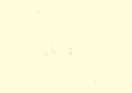 O=C(NN=C1c2ccc(F)cc2CCC1c1ccccc1)Nc1ccc(C(F)(F)F)cc1